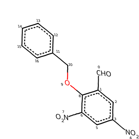 O=Cc1cc([N+](=O)[O-])cc([N+](=O)[O-])c1OCc1ccccc1